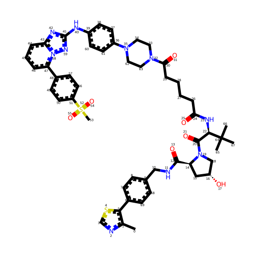 Cc1ncsc1-c1ccc(CNC(=O)[C@@H]2C[C@@H](O)CN2C(=O)[C@@H](NC(=O)CCCCC(=O)N2CCN(c3ccc(Nc4nc5cccc(-c6ccc(S(C)(=O)=O)cc6)n5n4)cc3)CC2)C(C)(C)C)cc1